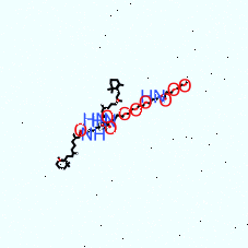 COCCOCCC(=O)NCCCOCCOCCOCCCNC(=O)[C@H](CCCCNC(=O)CC(C)CCCC(C)CCC1=C(C)CCCC1(C)C)NC(=O)CC(C)CCCC(C)CCC1=C(C)CCCC1(C)C